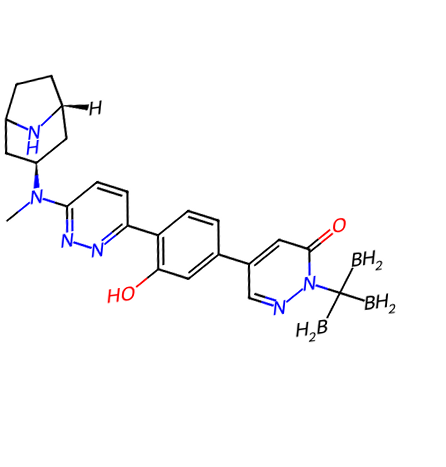 BC(B)(B)n1ncc(-c2ccc(-c3ccc(N(C)[C@H]4CC5CC[C@H](C4)N5)nn3)c(O)c2)cc1=O